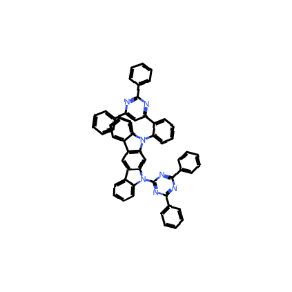 c1ccc(-c2cc(-c3ccccc3-n3c4ccccc4c4cc5c6ccccc6n(-c6nc(-c7ccccc7)nc(-c7ccccc7)n6)c5cc43)nc(-c3ccccc3)n2)cc1